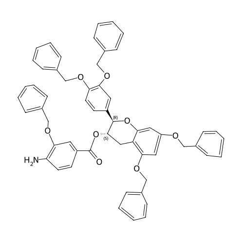 Nc1ccc(C(=O)O[C@H]2Cc3c(OCc4ccccc4)cc(OCc4ccccc4)cc3O[C@@H]2c2ccc(OCc3ccccc3)c(OCc3ccccc3)c2)cc1OCc1ccccc1